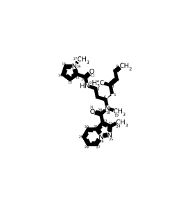 C=C/C=C(\C)C[C@@H](CCNC(=O)c1cccn1C)N(C)C(=O)c1c(C)nn2ccccc12